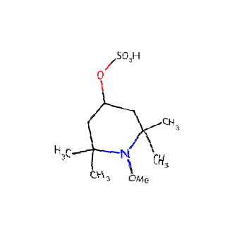 CON1C(C)(C)CC(OS(=O)(=O)O)CC1(C)C